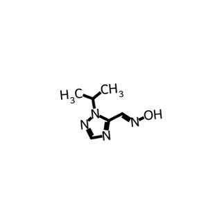 CC(C)n1ncnc1C=NO